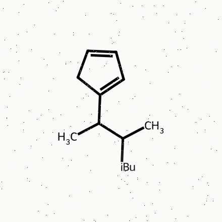 CCC(C)C(C)C(C)C1=CC=CC1